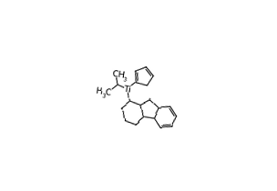 C[CH](C)[Ti]([C]1=CC=CC1)[CH]1CCCC2C3C=CC=CC3CC21